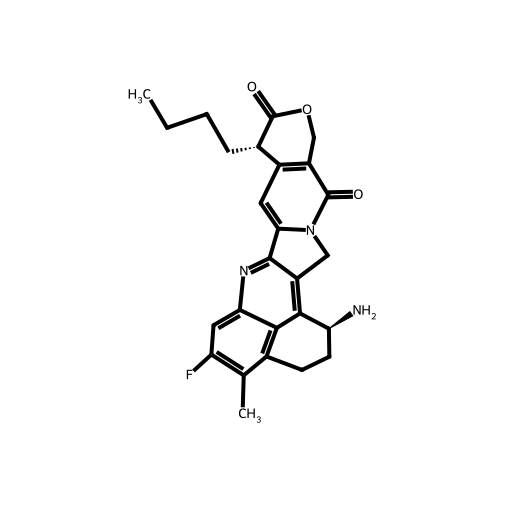 CCCC[C@@H]1C(=O)OCc2c1cc1n(c2=O)Cc2c-1nc1cc(F)c(C)c3c1c2[C@@H](N)CC3